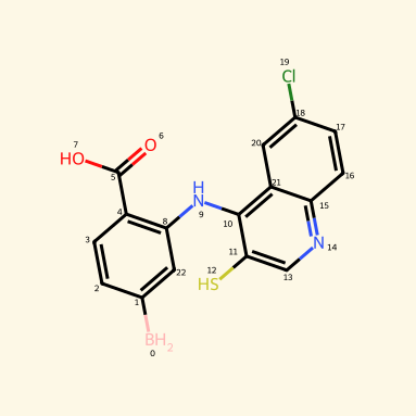 Bc1ccc(C(=O)O)c(Nc2c(S)cnc3ccc(Cl)cc23)c1